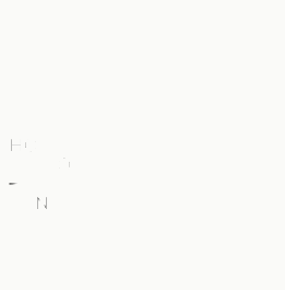 CCCCCCCCCCCCCCN(C)[C@@H](C)C(=O)O